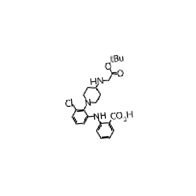 CC(C)(C)OC(=O)CNC1CCN(c2c(Cl)cccc2Nc2ccccc2C(=O)O)CC1